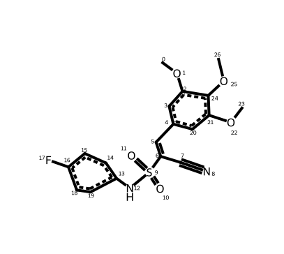 COc1cc(C=C(C#N)S(=O)(=O)Nc2ccc(F)cc2)cc(OC)c1OC